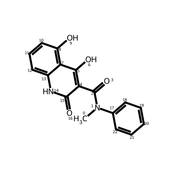 CN(C(=O)c1c(O)c2c(O)cccc2[nH]c1=O)c1ccccc1